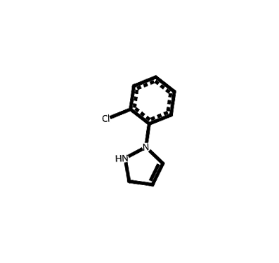 Clc1ccccc1N1C=CCN1